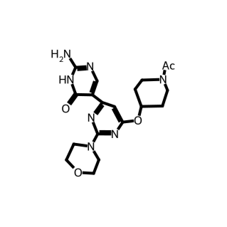 CC(=O)N1CCC(Oc2cc(-c3cnc(N)[nH]c3=O)nc(N3CCOCC3)n2)CC1